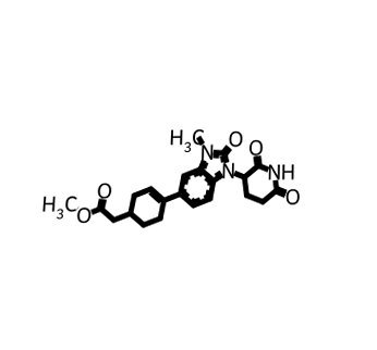 COC(=O)CC1CC=C(c2ccc3c(c2)n(C)c(=O)n3C2CCC(=O)NC2=O)CC1